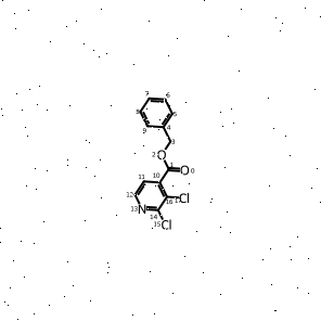 O=C(OCc1ccccc1)c1ccnc(Cl)c1Cl